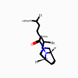 CCCCCCC(CCC)CN1[C@@H]2CC[C@H]1CN(C(=O)CCCC(CC)CCCCC)C2